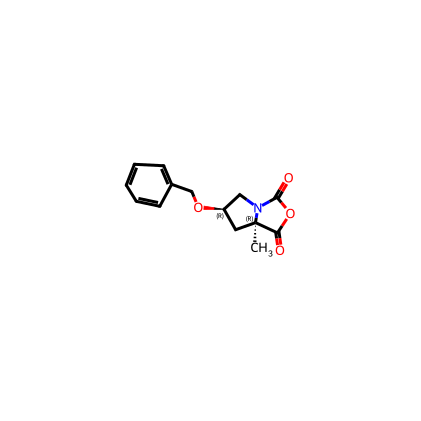 C[C@]12C[C@@H](OCc3ccccc3)CN1C(=O)OC2=O